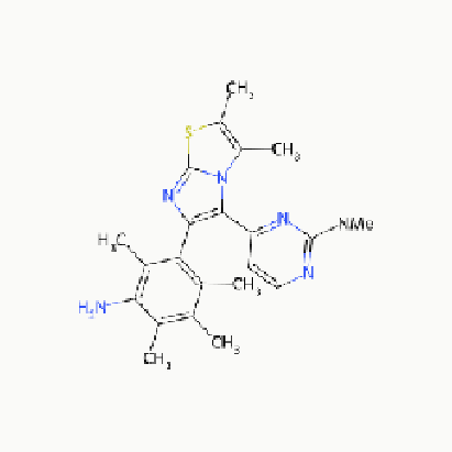 CNc1nccc(-c2c(-c3c(C)c(C)c(C)c(N)c3C)nc3sc(C)c(C)n23)n1